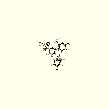 CCOc1cc(C)ncc1-c1cc(S(=O)(=O)CC)ccc1Oc1ccc(F)cc1F